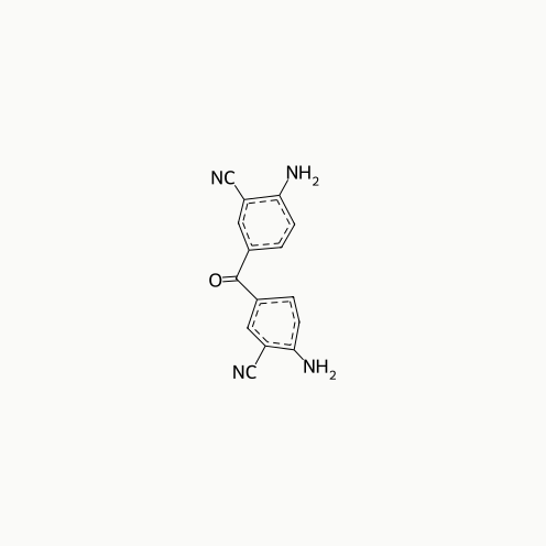 N#Cc1cc(C(=O)c2ccc(N)c(C#N)c2)ccc1N